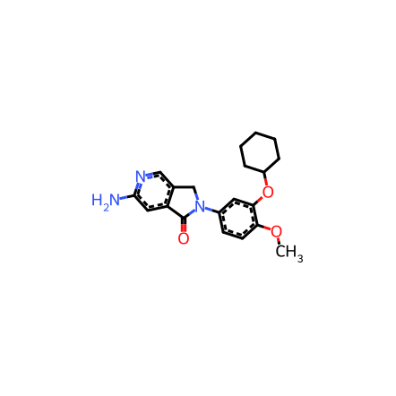 COc1ccc(N2Cc3cnc(N)cc3C2=O)cc1OC1CCCCC1